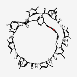 Cc1cc2c(O)c(c1)C(=O)Nc1cc(c(C)cc1C)NC(=O)c1cc(C)cc3c1OC#Cc1ccc(cc1)-c1ccc(cc1)C#COc1c(cc(C)cc1C(=O)Nc1cc(c(C)cc1C)NC(=O)c1cc(C)cc(c1O)C(=O)Nc1cc(c(C)cc1C)NC3=O)C(=O)Nc1cc(c(C)cc1C)NC2=O